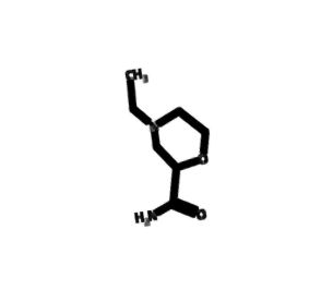 CCN1CCOC(C(N)=O)C1